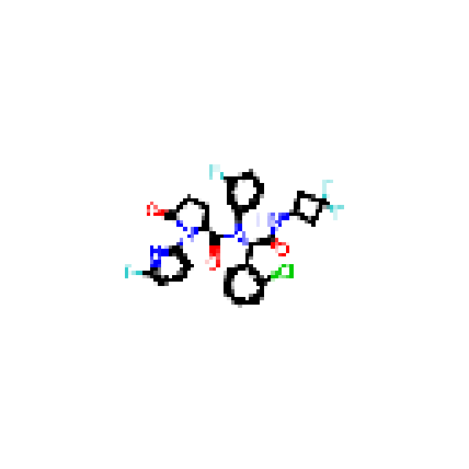 O=C(NC1CC(F)(F)C1)[C@H](c1ccccc1Cl)N(C(=O)C1CCC(=O)N1c1cccc(F)n1)c1cccc(F)c1